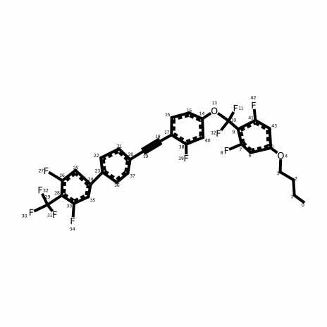 CCCCOc1cc(F)c(C(F)(F)Oc2ccc(C#Cc3ccc(-c4cc(F)c(C(F)(F)F)c(F)c4)cc3)c(F)c2)c(F)c1